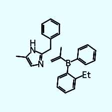 C=C(C)B(c1ccccc1)c1ccccc1CC.Cc1cnc(Cc2ccccc2)[nH]1